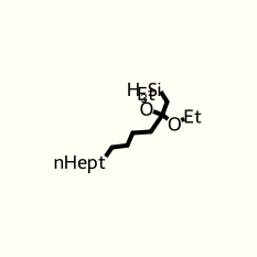 CCCCCCCCCCCC(C[SiH3])(OCC)OCC